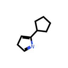 C1=NC(C2CCCC2)=CC1